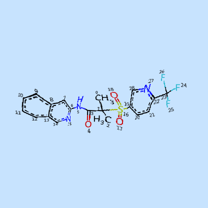 CC(C)(C(=O)Nc1cc2ccccc2cn1)S(=O)(=O)c1ccc(C(F)(F)F)nc1